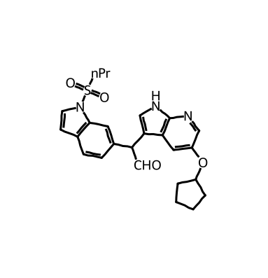 CCCS(=O)(=O)n1ccc2ccc(C(C=O)c3c[nH]c4ncc(OC5CCCC5)cc34)cc21